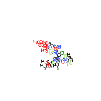 CC(C)(C#Cc1ccc(-c2ccc(Cl)c3c(CS(=O)(=O)NC(=O)CC4(CN(CC(=O)O)C(=O)OCOP(=O)(O)O)CC4)nn(CC(F)(F)F)c23)c([C@H](Cc2cc(F)cc(F)c2)NC(=O)Cn2nc(C(F)(F)F)c3c2C(F)(F)[C@@H]2C[C@H]32)n1)S(C)(=O)=O